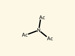 CC(=O)N(C(C)=O)C(C)=O